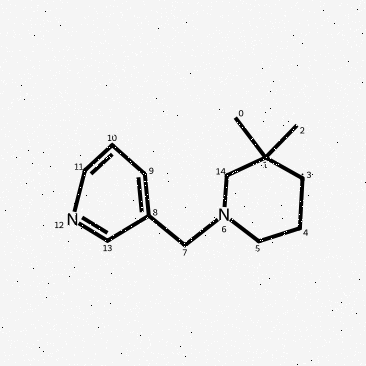 CC1(C)[CH]CCN(Cc2cccnc2)C1